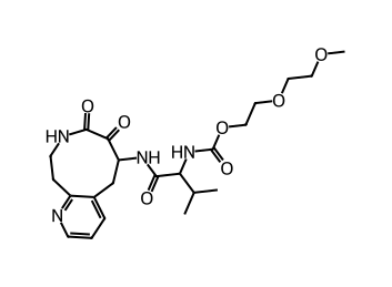 COCCOCCOC(=O)NC(C(=O)NC1Cc2cccnc2CCNC(=O)C1=O)C(C)C